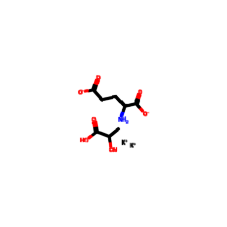 CC(O)C(=O)O.NC(CCC(=O)[O-])C(=O)[O-].[K+].[K+]